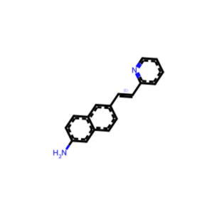 Nc1ccc2cc(/C=C/c3ccccn3)ccc2c1